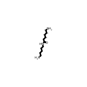 NCCCCCNC(=O)CCCCCN